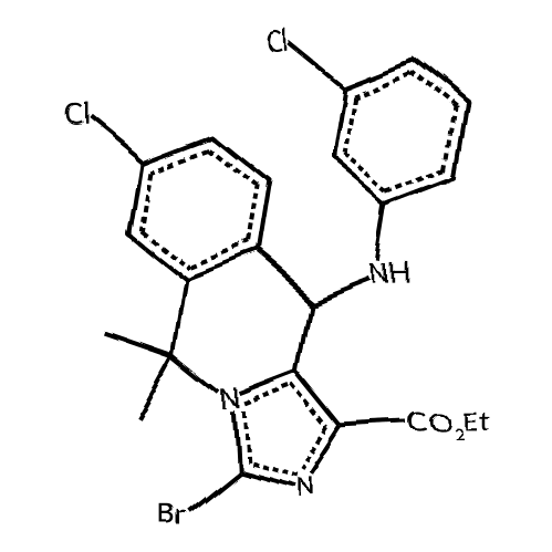 CCOC(=O)c1nc(Br)n2c1C(Nc1cccc(Cl)c1)c1ccc(Cl)cc1C2(C)C